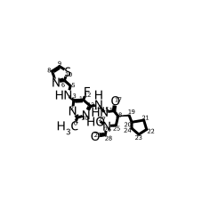 Cc1nc(NCc2nccs2)c(F)c(NNC(=O)[C@@H](CC2CCCC2)CN(O)C=O)n1